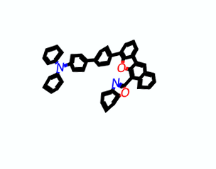 c1ccc(N(c2ccccc2)c2ccc(-c3ccc(-c4cccc5c4oc4c(-c6nc7ccccc7o6)c6ccccc6cc45)cc3)cc2)cc1